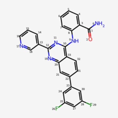 NC(=O)c1ccccc1Nc1nc(-c2cccnc2)nc2cc(-c3cc(F)cc(F)c3)ccc12